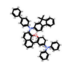 CC1(C)c2ccccc2-c2ccc(N(c3ccc(-c4ccccc4)cc3)c3ccc4cccc5c4c3OC3=C5C=C(N(c4ccccc4)c4ccccc4)CC3)cc21